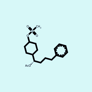 CC(=O)O[C@@H](CCCc1ccccc1)C1CCC(OS(C)(=O)=O)CC1